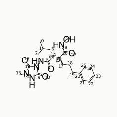 CC(C)C[C@@H](C(=O)Nn1c(=O)[nH]n(C)c1=O)[C@H](CCCc1ccccc1)C(=O)NO